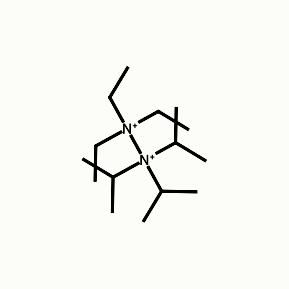 CC[N+](CC)(CC)[N+](C(C)C)(C(C)C)C(C)C